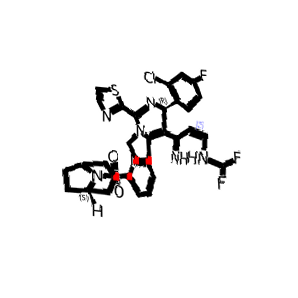 N=C(/C=C\NC(F)F)C1=C2C[C@H](CS(=O)(=O)N3C4CC[C@H]3C[C@@H](c3ccccn3)C4)CN2C(c2nccs2)=N[C@H]1c1ccc(F)cc1Cl